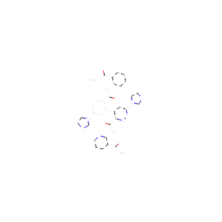 COC(=O)c1cc(Cl)c(C)nc1NC(=O)c1nnc(-n2ccnc2)cc1N1NC(n2ccnc2)CCC1C(=O)Nc1c(F)cc(C(F)(F)F)cc1C(=O)OC